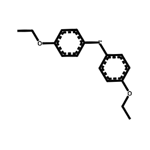 CCOc1ccc([I+]c2ccc(OCC)cc2)cc1